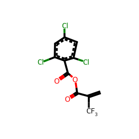 C=C(C(=O)OC(=O)c1c(Cl)cc(Cl)cc1Cl)C(F)(F)F